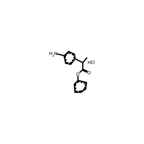 CC(C(=O)Oc1ccccc1)c1ccc(N)cc1.Cl